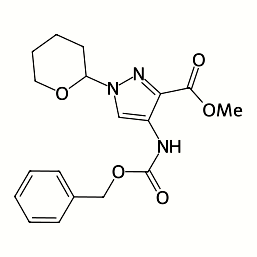 COC(=O)c1nn(C2CCCCO2)cc1NC(=O)OCc1ccccc1